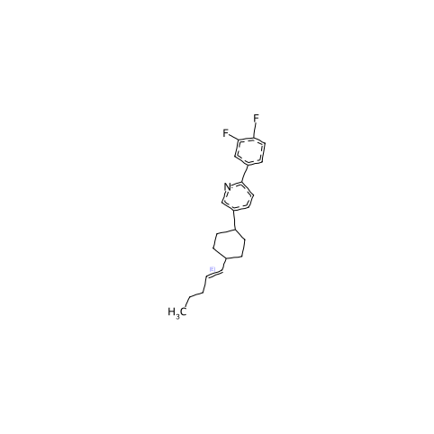 CCC/C=C/C1CCC(c2ccc(-c3ccc(F)c(F)c3)nc2)CC1